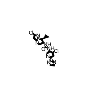 O=C(Nc1cnc(-n2nccn2)cc1Cl)Nc1cnc2cc(Cl)nn2c1C1CC1